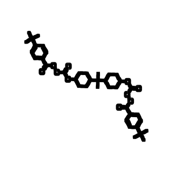 CC(C)(C)c1ccc(C(=O)OOC(=O)OC2CCC(C(C)(C)C3CCC(OC(=O)OOC(=O)c4ccc(C(C)(C)C)cc4)CC3)CC2)cc1